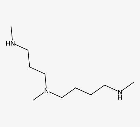 CNCCCCN(C)CCCNC